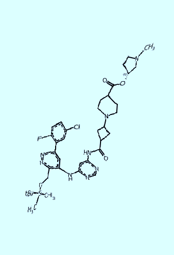 CN1CC[C@@H](OC(=O)C2CCN(C3CC(C(=O)Nc4cc(Nc5cc(-c6cc(Cl)ccc6F)nnc5CO[Si](C)(C)C(C)(C)C)ncn4)C3)CC2)C1